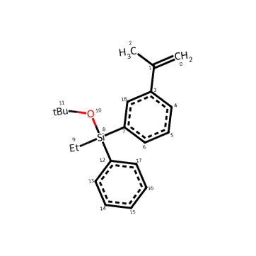 C=C(C)c1cccc([Si](CC)(OC(C)(C)C)c2ccccc2)c1